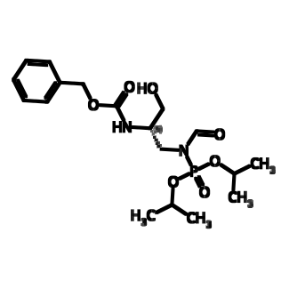 CC(C)OP(=O)(OC(C)C)N(C=O)C[C@@H](CO)NC(=O)OCc1ccccc1